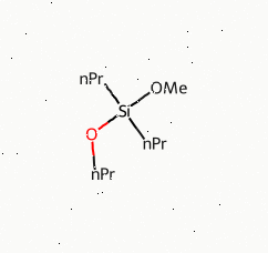 CCCO[Si](CCC)(CCC)OC